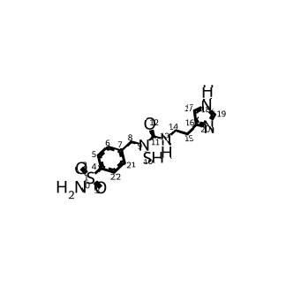 NS(=O)(=O)c1ccc(CN(S)C(=O)NCCc2c[nH]cn2)cc1